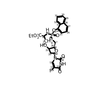 CCOC(=O)[C@H](C)NP(=O)(OC[C@H]1O[C@@H](n2cc(F)c(=O)[nH]c2=O)CC1O)Oc1cccc2ccccc12